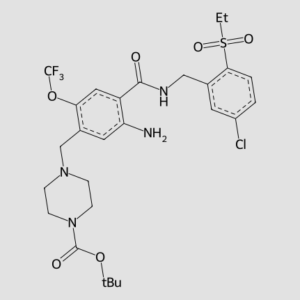 CCS(=O)(=O)c1ccc(Cl)cc1CNC(=O)c1cc(OC(F)(F)F)c(CN2CCN(C(=O)OC(C)(C)C)CC2)cc1N